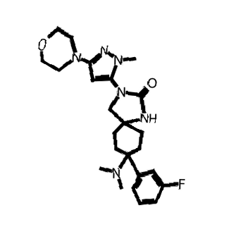 CN(C)C1(c2cccc(F)c2)CCC2(CC1)CN(c1cc(N3CCOCC3)nn1C)C(=O)N2